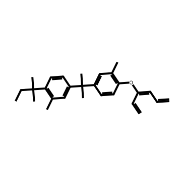 C=C/C=C(\C=C)Oc1ccc(C(C)(C)c2ccc(C(C)(C)CC)c(C)c2)cc1C